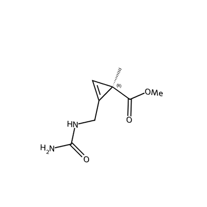 COC(=O)[C@]1(C)C=C1CNC(N)=O